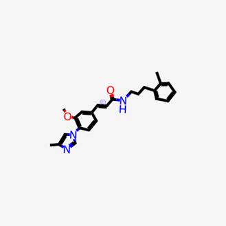 COc1cc(/C=C/C(=O)NCCCc2ccccc2C)ccc1-n1cnc(C)c1